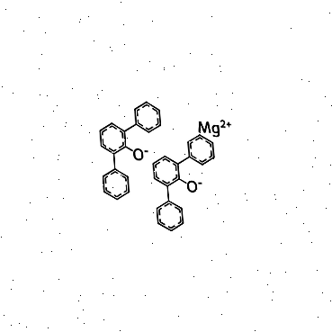 [Mg+2].[O-]c1c(-c2ccccc2)cccc1-c1ccccc1.[O-]c1c(-c2ccccc2)cccc1-c1ccccc1